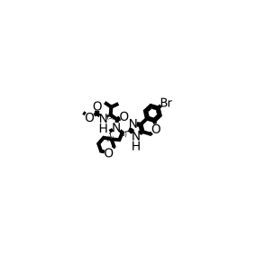 COC(=O)N[C@H](C(=O)N1C[C@]2(CCCOC2)C[C@H]1c1nc2c([nH]1)COc1cc(Br)ccc1-2)C(C)C